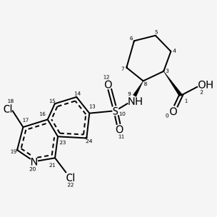 O=C(O)[C@@H]1CCCC[C@@H]1NS(=O)(=O)c1ccc2c(Cl)cnc(Cl)c2c1